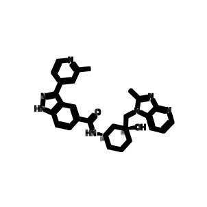 Cc1cc(-c2n[nH]c3ccc(C(=O)N[C@H]4CCC[C@@](O)(Cn5c(C)nc6ncccc65)C4)cc23)ccn1